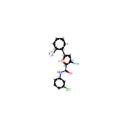 O=C(Nc1cccc(Cl)c1)c1oc(-c2ccccc2C(F)(F)F)cc1F